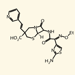 CCON=C(C(=O)NC1C(=O)N2CC(C=Cc3cccnc3)(C(=O)O)CS[C@H]12)c1csc(N)n1